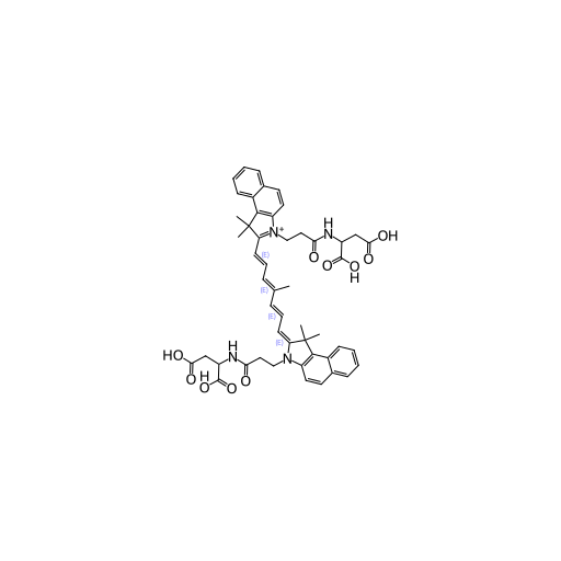 CC(/C=C/C=C1/N(CCC(=O)NC(CC(=O)O)C(=O)O)c2ccc3ccccc3c2C1(C)C)=C\C=C\C1=[N+](CCC(=O)NC(CC(=O)O)C(=O)O)c2ccc3ccccc3c2C1(C)C